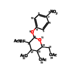 CC(=O)NC1C(Oc2ccc([N+](=O)[O-])cc2)OC(COC(C)=O)C(OC(C)=O)C1OC(C)=O